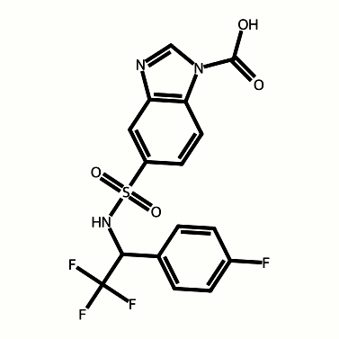 O=C(O)n1cnc2cc(S(=O)(=O)NC(c3ccc(F)cc3)C(F)(F)F)ccc21